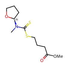 COC(=O)CCCSC(=S)N(C)[C@@H]1CCCO1